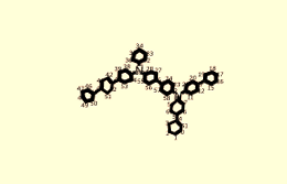 C1=CCCC(C2=CC=C(N(c3ccc(-c4ccccc4)cc3)c3ccc(-c4ccc(N(c5ccccc5)c5ccc(C6=CC=C(c7ccccc7)CC6)cc5)cc4)cc3)CC2)=C1